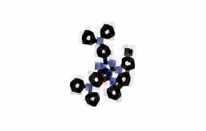 CCC1=CC=C2c3ccc4c5ccccc5n(-c5ccccc5)c4c3N(C3=NC(c4ccc(N(c5ccccc5)c5ccccc5)cc4)NC(c4ccc(N(c5ccccc5)c5ccccc5)cc4)=N3)C2C1